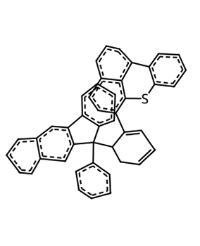 C1=CCC(C2(c3ccccc3)c3ccccc3-c3cc4ccccc4cc32)C(c2ccc3cccc4c3c2Sc2ccccc2-4)=C1